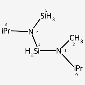 CC(C)N(C)[SiH2]N([SiH3])C(C)C